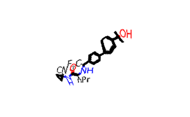 CCC[C@H](N[C@@H](c1ccc(-c2ccc(C(C)(C)O)cc2)cc1)C(F)(F)F)C(=O)NC1(C#N)CC1